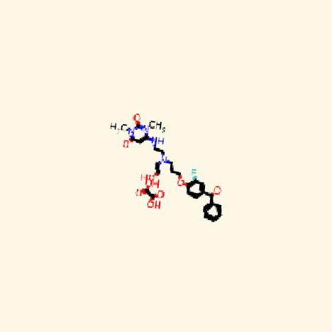 Cn1c(NCCN(CCO)CCCOc2ccc(C(=O)c3ccccc3)cc2F)cc(=O)n(C)c1=O.O=C(O)C(=O)O